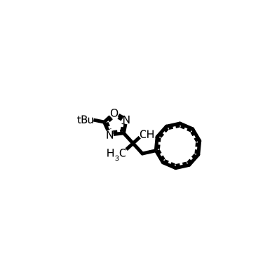 CC(C)(C)c1nc(C(C)(C)Cc2ccccccccc2)no1